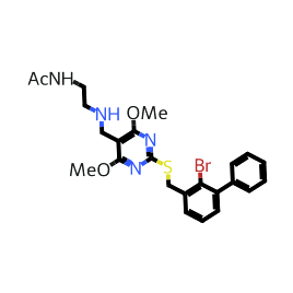 COc1nc(SCc2cccc(-c3ccccc3)c2Br)nc(OC)c1CNCCNC(C)=O